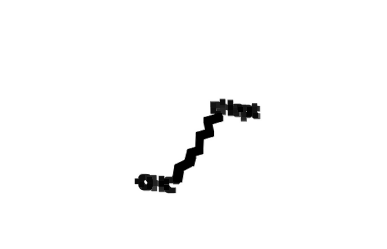 CCCCCCCCCCCCC=CC=C[C]=O